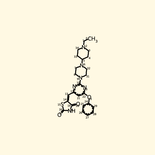 CCN1CCC(N2CCN(c3nc(/C=C4/SC(=O)NC4=O)cc(Oc4ccccc4)n3)CC2)CC1